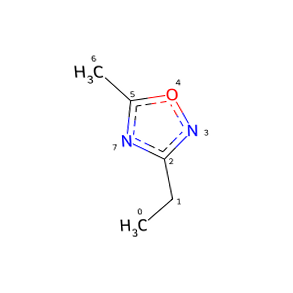 CCc1noc(C)n1